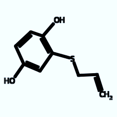 C=CCSc1cc(O)ccc1O